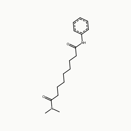 CN(C)C(=O)CCCCCCCC(=O)Nc1ccccc1